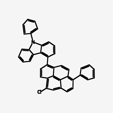 Clc1cc2ccc(-c3ccccc3)c3ccc4c(-c5cccc6c5c5ccccc5n6-c5ccccc5)ccc1c4c23